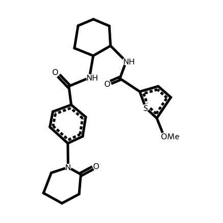 COc1ccc(C(=O)NC2CCCCC2NC(=O)c2ccc(N3CCCCC3=O)cc2)s1